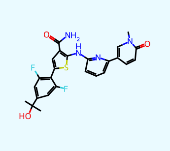 Cn1cc(-c2cccc(Nc3sc(-c4c(F)cc(C(C)(C)O)cc4F)cc3C(N)=O)n2)ccc1=O